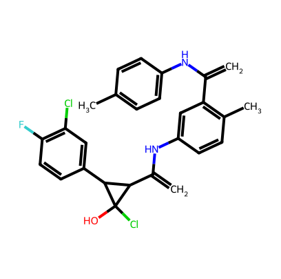 C=C(Nc1ccc(C)cc1)c1cc(NC(=C)C2C(c3ccc(F)c(Cl)c3)C2(O)Cl)ccc1C